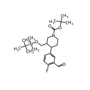 CC(C)(C)OC(=O)N1CCC(c2ccc(F)c(C=O)c2)C(CO[Si](C)(C)C(C)(C)C)C1